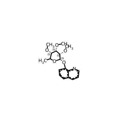 CO[C@@H]1[C@H](Oc2cccc3cccnc23)OC(C)[C@H](OC)[C@@H]1OC